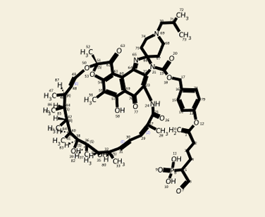 C=C(CCCC(C=O)P(=O)(O)O)Oc1ccc(COC(=O)N2C3=C4NC(=O)/C(C)=C\C=C\[C@H](C)[C@H](O)[C@@H](C)[C@@H](O)[C@@H](C)[C@H](C)[C@H](C)[C@@H](C)/C=C/O[C@@]5(C)Oc6c(C)c(O)c(c(c6C5=O)C3=NC23CCN(CC(C)C)CC3)C4=O)cc1